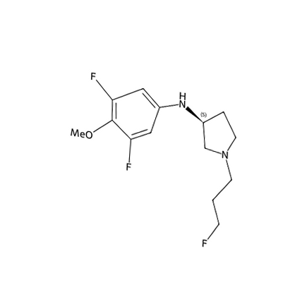 COc1c(F)cc(N[C@H]2CCN(CCCF)C2)cc1F